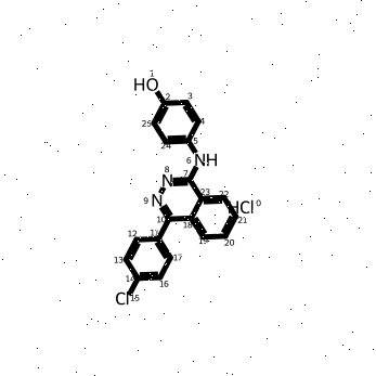 Cl.Oc1ccc(Nc2nnc(-c3ccc(Cl)cc3)c3ccccc23)cc1